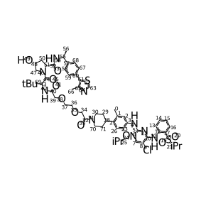 Cc1cc(Nc2ncc(Cl)c(Nc3ccccc3S(=O)(=O)C(C)C)n2)c(OC(C)C)cc1C1CCN(C(=O)COCCOCC(=O)NC(C(=O)N2C[C@H](O)C[C@H]2C(=O)N[C@@H](C)c2ccc(-c3scnc3C)cc2)C(C)(C)C)CC1